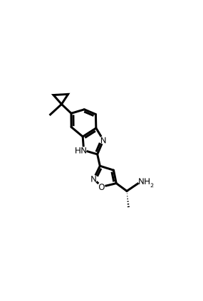 C[C@@H](N)c1cc(-c2nc3ccc(C4(C)CC4)cc3[nH]2)no1